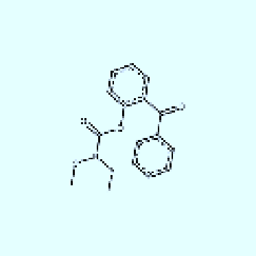 CSN(SC)C(=O)Oc1ccccc1C(=O)c1ccccc1